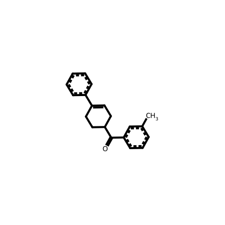 Cc1cccc(C(=O)C2CC=C(c3ccccc3)CC2)c1